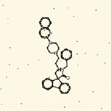 O=C(NCc1ccccc1)C1(CCCCN2CCN(c3ccc4ccccc4n3)CC2)c2ccccc2-c2ccccc21